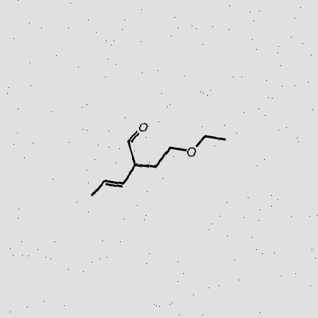 CC=CC(C=O)CCOCC